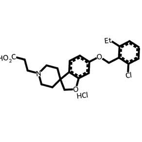 CCc1cccc(Cl)c1COc1ccc2c(c1)OCC21CCN(CCC(=O)O)CC1.Cl